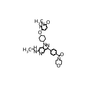 CCNc1cc2c(cn1)c(-c1ccc(C(=O)N3CCOCC3)cc1)nn2[C@H]1CC[C@@H](Oc2ccc(=O)n(C)n2)CC1